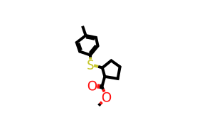 COC(=O)C1CCCC1Sc1ccc(C)cc1